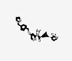 O=C(Nc1cc(OCc2ccc(Cn3cccn3)cc2)cnn1)[C@H]1C[C@@H]1c1cccnc1Cl